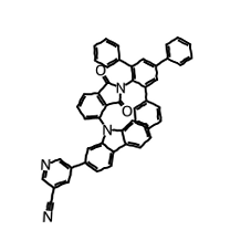 N#Cc1cncc(-c2ccc3c4ccccc4n(-c4cccc5c4C(=O)N(c4c(-c6ccccc6)cc(-c6ccccc6)cc4-c4ccccc4)C5=O)c3c2)c1